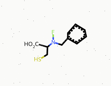 O=C(O)C(CS)N(F)Cc1ccccc1